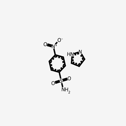 NS(=O)(=O)c1ccc([N+](=O)[O-])cc1.c1cn[nH]c1